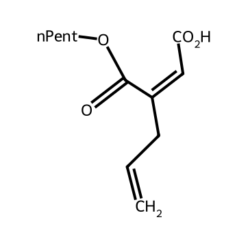 C=CCC(=CC(=O)O)C(=O)OCCCCC